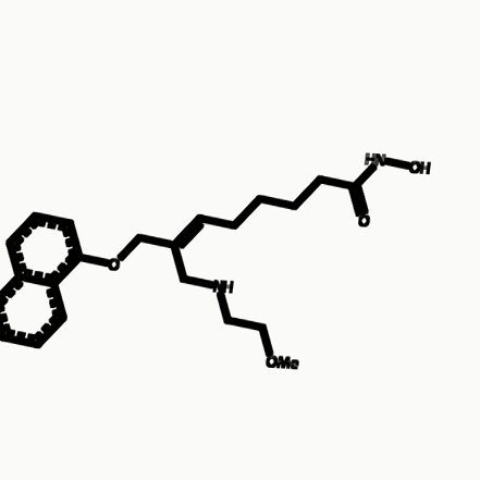 COCCNC/C(=C\CCCCC(=O)NO)COc1cccc2ccccc12